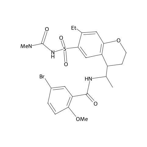 CCc1cc2c(cc1S(=O)(=O)NC(=O)NC)C(C(C)NC(=O)c1cc(Br)ccc1OC)CCO2